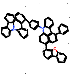 c1ccc(-c2ccccc2-c2ccccc2N(c2ccc(-c3ccccc3-c3ccccc3-n3c4ccccc4c4ccccc43)cc2)c2ccc(-c3cccc4c3oc3ccccc34)cc2)cc1